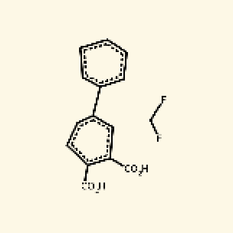 FCF.O=C(O)c1ccc(-c2ccccc2)cc1C(=O)O